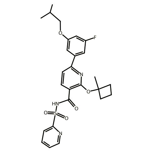 CC(C)COc1cc(F)cc(-c2ccc(C(=O)NS(=O)(=O)c3ccccn3)c(OC3(C)CCC3)n2)c1